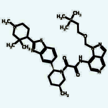 C[C@H]1CC[C@H](c2ccc3sc(C4CCN(C)CC4(C)C)nc3c2)N(C(=O)C(=O)Nc2cncc3cnn(COCC[Si](C)(C)C)c23)C1